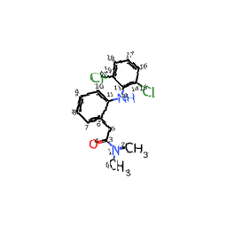 CN(C)C(=O)Cc1ccccc1Nc1c(Cl)cccc1Cl